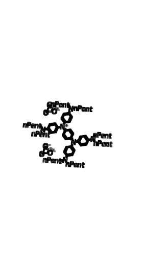 CCCCCN(CCCCC)c1ccc([N+](=C2C=CC(=[N+](c3ccc(N(CCCCC)CCCCC)cc3)c3ccc(N(CCCCC)CCCCC)cc3)C=C2)c2ccc(N(CCCCC)CCCCC)cc2)cc1.[O-][Cl+2]([O-])[O-].[O-][Cl+2]([O-])[O-]